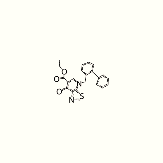 CCOC(=O)c1cn(Cc2ccccc2-c2ccccc2)c2scnc2c1=O